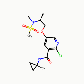 C[C@@H](COc1cnc(Cl)c(C(=O)NC2(C#N)CC2)c1)N(C)S(=O)(=O)C(F)(F)F